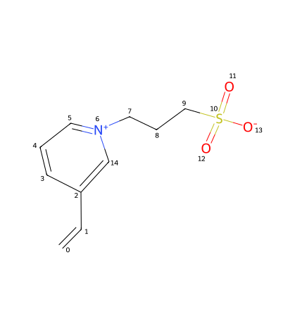 C=Cc1ccc[n+](CCCS(=O)(=O)[O-])c1